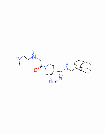 CN(C)CCN(C)CC(=O)N1CCc2c(ncnc2NCC2C3CC4CC(C3)CC2C4)C1